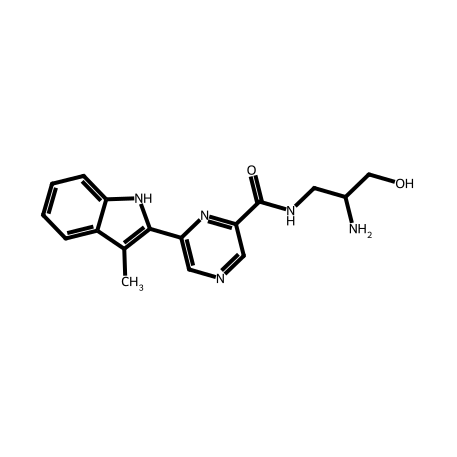 Cc1c(-c2cncc(C(=O)NCC(N)CO)n2)[nH]c2ccccc12